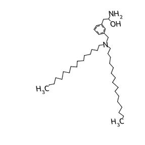 CCCCCCCCCCCCCCCCN(CCCCCCCCCCCCCCCC)Cc1cccc(CC(N)O)c1